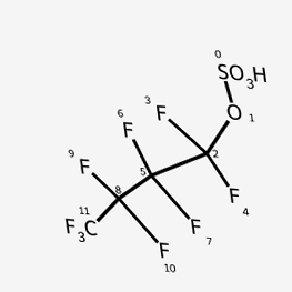 O=S(=O)(O)OC(F)(F)C(F)(F)C(F)(F)C(F)(F)F